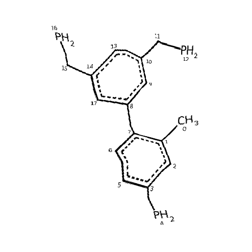 Cc1cc(P)ccc1-c1cc(CP)cc(CP)c1